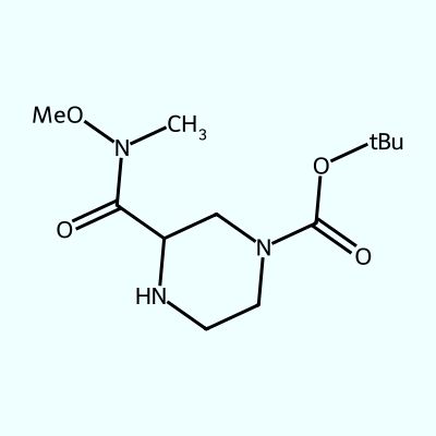 CON(C)C(=O)C1CN(C(=O)OC(C)(C)C)CCN1